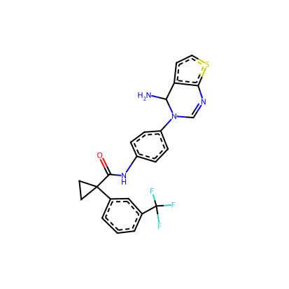 NC1c2ccsc2N=CN1c1ccc(NC(=O)C2(c3cccc(C(F)(F)F)c3)CC2)cc1